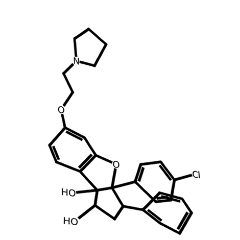 OC1CC(c2ccccc2)C2(c3ccc(Cl)cc3)Oc3cc(OCCN4CCCC4)ccc3C12O